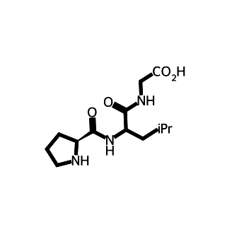 CC(C)CC(NC(=O)[C@@H]1CCCN1)C(=O)NCC(=O)O